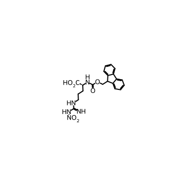 N=C(NCCC[C@H](NC(=O)OCC1c2ccccc2-c2ccccc21)C(=O)O)N[N+](=O)[O-]